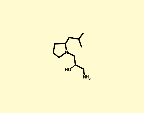 CC(C)CC1CCCN1C[C@@H](O)CN